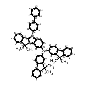 CC1(C)c2ccccc2-c2ccc(N(c3ccc4c(c3)C(C)(C)c3ccccc3-4)c3ccc4c(c3)c3c(n4-c4ccc(-c5ccccc5)cc4)-c4ccccc4C3(C)C)cc21